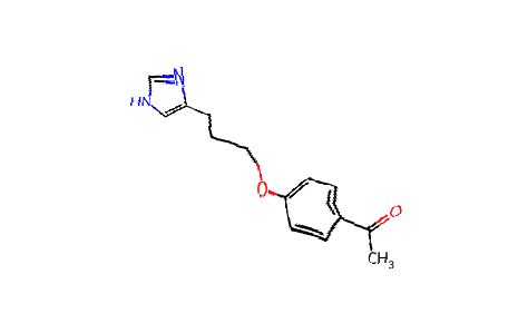 CC(=O)c1ccc(OCCCc2c[nH]cn2)cc1